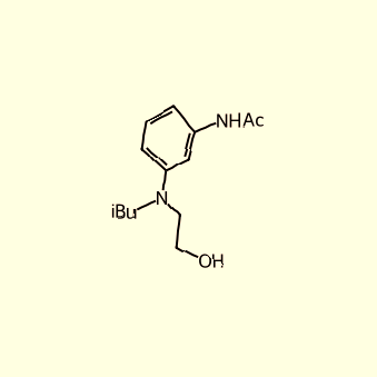 CCC(C)N(CCO)c1cccc(NC(C)=O)c1